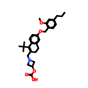 CCCc1ccc(COc2ccc3c(c2)CCC(CN2CC(OC(=O)O)C2)=C3C(C)(C)C)c(OC)c1